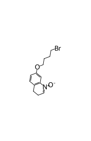 [O-][N+]1=CCCc2ccc(OCCCCBr)cc21